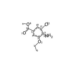 CCOc1cc(C(=O)OC)cc(Cl)c1N